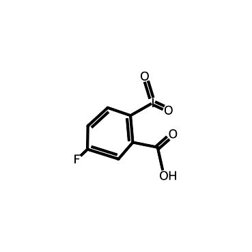 O=C(O)c1cc(F)ccc1I(=O)=O